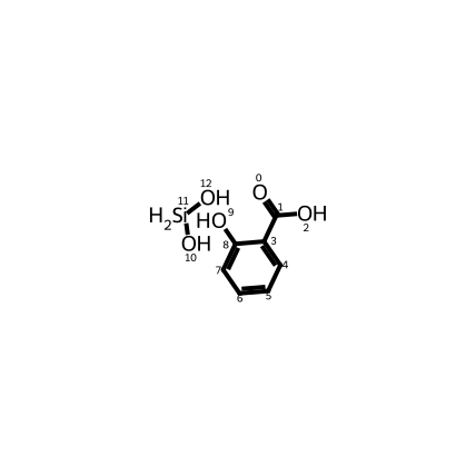 O=C(O)c1ccccc1O.O[SiH2]O